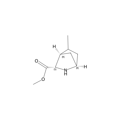 COC(=O)[C@H]1N[C@@H]2CC(C)[C@H]1C2